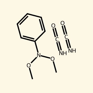 CON(OC)c1ccccc1.N=C=O.N=C=O